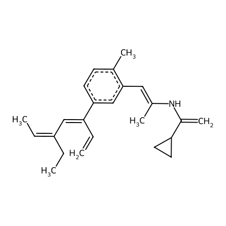 C=C/C(=C\C(=C/C)CC)c1ccc(C)c(/C=C(\C)NC(=C)C2CC2)c1